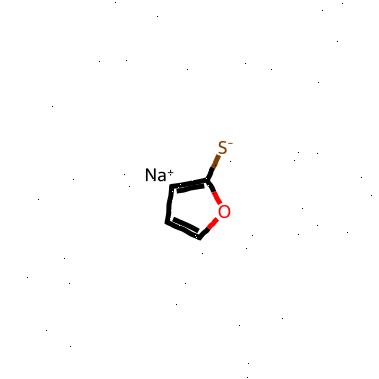 [Na+].[S-]c1ccco1